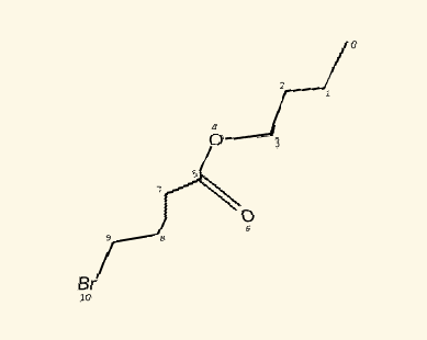 CCCCOC(=O)CCCBr